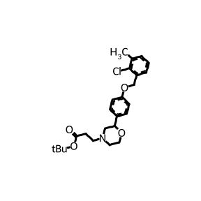 Cc1cccc(COc2ccc(C3CN(CCC(=O)OC(C)(C)C)CCO3)cc2)c1Cl